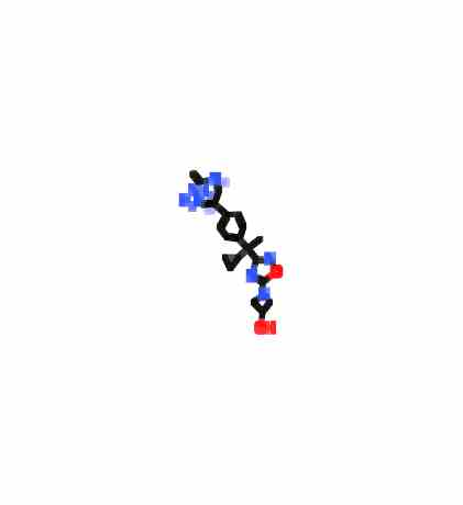 C=C(N)/N=C\C(=C/N)c1ccc(C(C)(c2noc(N3CC(O)C3)n2)C2CC2)cc1